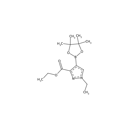 CCOC(=O)c1nn(CC)cc1B1OC(C)(C)C(C)(C)O1